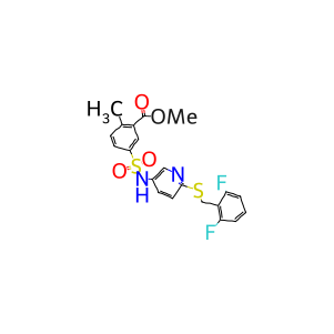 COC(=O)c1cc(S(=O)(=O)Nc2ccc(SCc3c(F)cccc3F)nc2)ccc1C